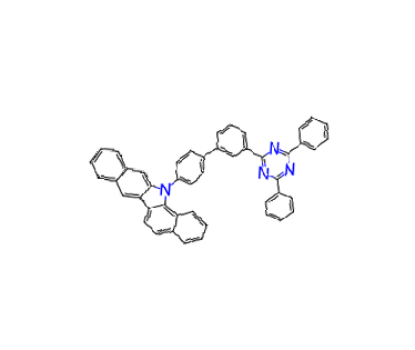 c1ccc(-c2nc(-c3ccccc3)nc(-c3cccc(-c4ccc(-n5c6cc7ccccc7cc6c6ccc7ccccc7c65)cc4)c3)n2)cc1